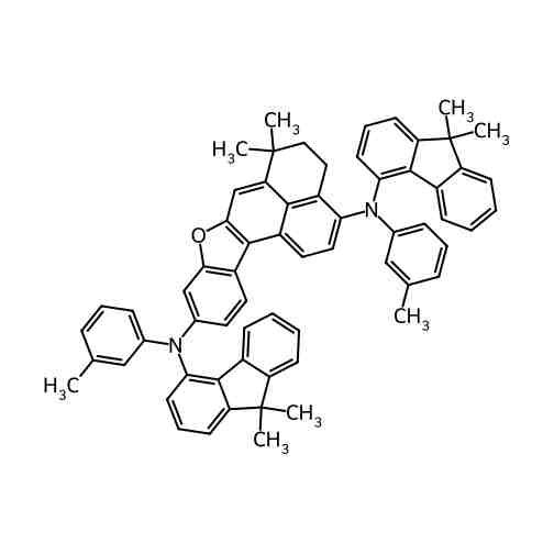 Cc1cccc(N(c2ccc3c(c2)oc2cc4c5c(c(N(c6cccc(C)c6)c6cccc7c6-c6ccccc6C7(C)C)ccc5c23)CCC4(C)C)c2cccc3c2-c2ccccc2C3(C)C)c1